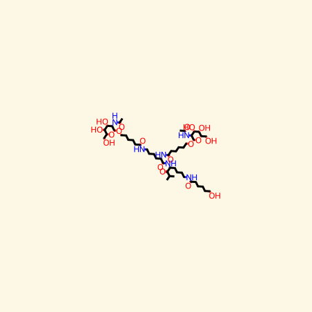 CC(=O)NC1C(OCCCCCC(=O)NCCCCC(NC(=O)CCCCCOC2OC(CO)C(O)C(O)C2NC(C)=O)C(=O)NC(CCCCNC(=O)CCCCCO)C(=O)C(C)C)OC(CO)C(O)C1O